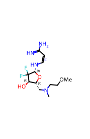 COCCN(C)C[C@H]1O[C@@H](N/C=C\C(=N)N)C(F)(F)[C@@H]1O